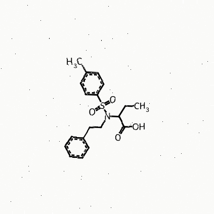 CCC(C(=O)O)N(CCc1ccccc1)S(=O)(=O)c1ccc(C)cc1